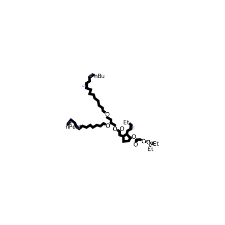 CC/C=C\CC1C(CC(=O)OCC(CCOCCCCCCCC/C=C\C/C=C\CCCC)OCCCCCCC/C=C\C/C=C\CCCCC)CCC1OC(=O)CCCN(CC)CC